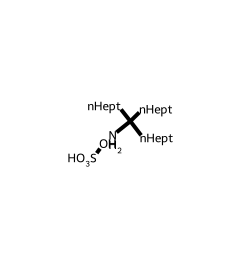 CCCCCCCC(N)(CCCCCCC)CCCCCCC.O=S(=O)(O)O